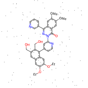 CCOc1cc2cc(CO)c(CO)c(-c3ccnc(-n4nc(-c5cccnc5)c5cc(OC)c(OC)cc5c4=O)c3)c2cc1OCC